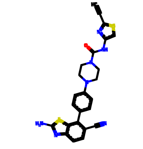 C#Cc1nc(NC(=O)N2CCN(c3ccc(-c4c(C#N)ccc5nc(N)sc45)cc3)CC2)cs1